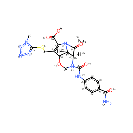 Cn1nnnc1SCC1=C(C(=O)[O-])N2C(=O)[C@@H]3[C@H]2C1OCN3C(=O)Nc1ccc(C(N)=O)cc1.[Na+]